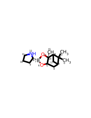 CC1(C)C2CC3OB([C@@H]4CCCN4)O[C@@]3(C)C1C2